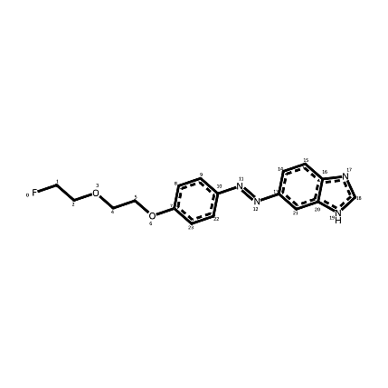 FCCOCCOc1ccc(N=Nc2ccc3nc[nH]c3c2)cc1